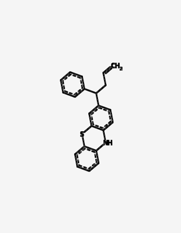 C=CCC(c1ccccc1)c1ccc2c(c1)Sc1ccccc1N2